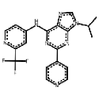 CC(C)n1cnc2c(Nc3ccnc(C(F)(F)F)c3)nc(-c3ccncc3)nc21